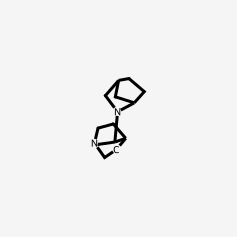 C1CC2CC1CN2C1CN2CCC1CC2